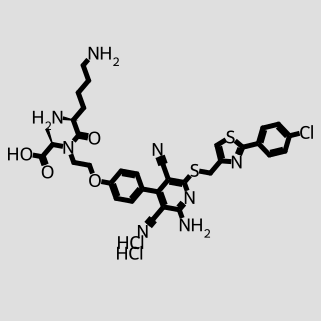 C[C@H](C(=O)O)N(CCOc1ccc(-c2c(C#N)c(N)nc(SCc3csc(-c4ccc(Cl)cc4)n3)c2C#N)cc1)C(=O)[C@@H](N)CCCCN.Cl.Cl